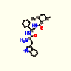 CC(C)[C@@H]1CC[C@@H](C)C[C@H]1C(=O)NC[C@@H](NC(=O)[C@@H](N)Cc1c[nH]c2ccccc12)c1ccccc1